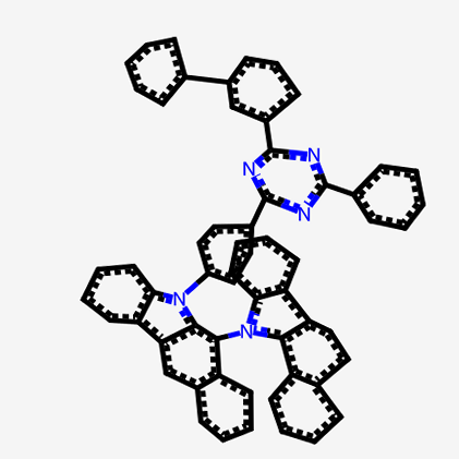 c1ccc(-c2cccc(-c3nc(-c4ccccc4)nc(-c4ccc(-n5c6ccccc6c6cc7ccccc7c(-n7c8ccccc8c8ccc9ccccc9c87)c65)cc4)n3)c2)cc1